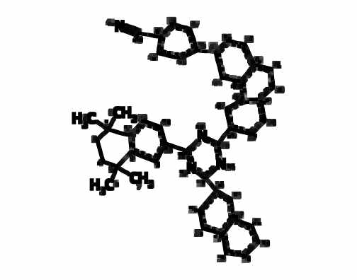 CC1(C)CCC(C)(C)c2cc(-c3nc(-c4ccc5ccccc5c4)nc(-c4ccc5ccc6ccc(-c7ccc(C#N)cc7)cc6c5c4)n3)ccc21